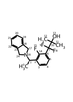 C[C@H](c1cccc(C(F)(F)C(C)(C)O)c1F)N1Cc2ccccc2C1